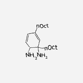 CCCCCCCCC1=CC(N)(CCCCCCCC)C(N)C=C1